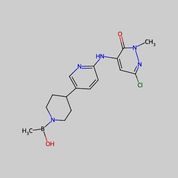 CB(O)N1CCC(c2ccc(Nc3cc(Cl)nn(C)c3=O)nc2)CC1